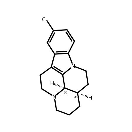 Clc1ccc2c(c1)c1c3n2CC[C@H]2CCCN(CC1)[C@@H]32